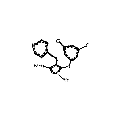 CNc1nn(C(C)C)c(Sc2cc(Cl)cc(Cl)c2)c1Cc1ccncc1